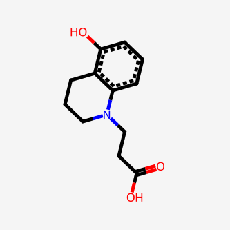 O=C(O)CCN1CCCc2c(O)cccc21